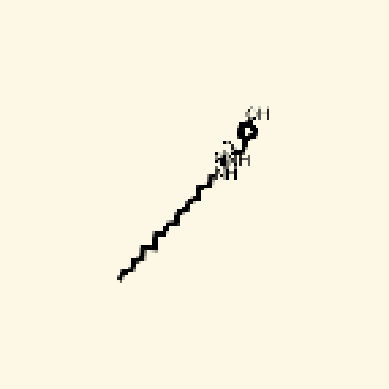 CCCCCCCCCCCCCCCCCCNC(=O)NC(=O)Cc1ccc(O)cc1